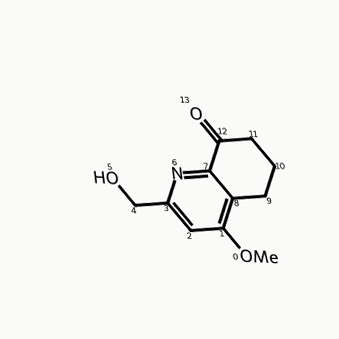 COc1cc(CO)nc2c1CCCC2=O